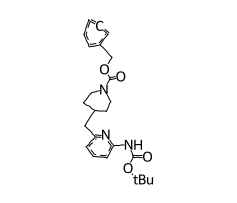 CC(C)(C)OC(=O)Nc1cccc(CC2CCN(C(=O)OCc3ccccc3)CC2)n1